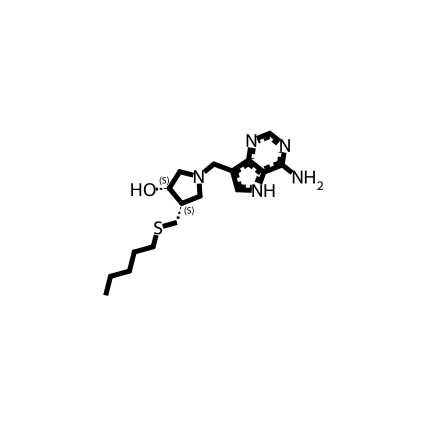 CCCCCSC[C@H]1CN(Cc2c[nH]c3c(N)ncnc23)C[C@H]1O